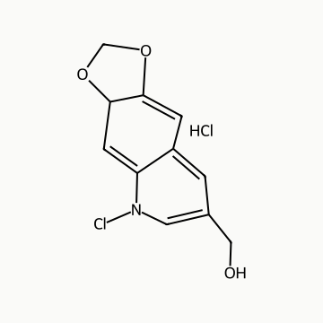 Cl.OCC1=CN(Cl)C2=CC3OCOC3=CC2=C1